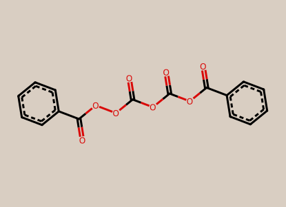 O=C(OOC(=O)c1ccccc1)OC(=O)OC(=O)c1ccccc1